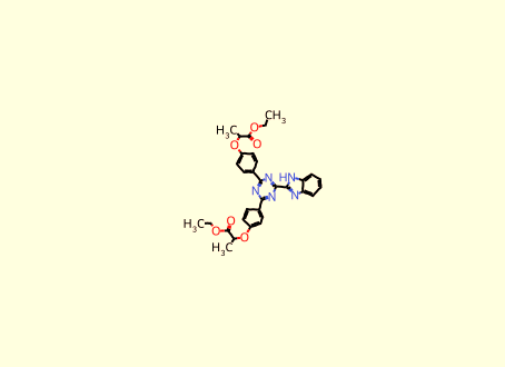 CCOC(=O)C(C)Oc1ccc(-c2nc(-c3ccc(OC(C)C(=O)OCC)cc3)nc(-c3nc4ccccc4[nH]3)n2)cc1